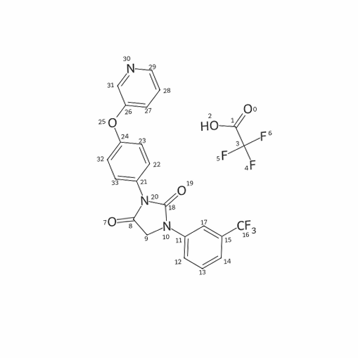 O=C(O)C(F)(F)F.O=C1CN(c2cccc(C(F)(F)F)c2)C(=O)N1c1ccc(Oc2cccnc2)cc1